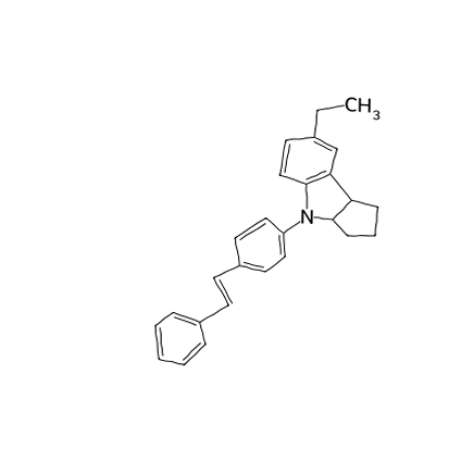 CCc1ccc2c(c1)C1CCCC1N2c1ccc(/C=C/c2ccccc2)cc1